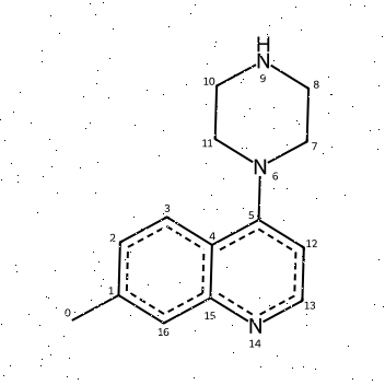 Cc1ccc2c(N3CCNCC3)ccnc2c1